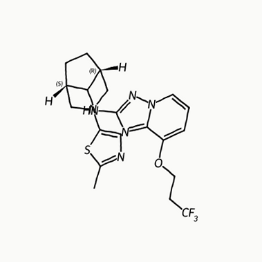 Cc1ncc(N2C[C@H]3CC[C@@H](C2)C3Nc2nc3c(OCCC(F)(F)F)cccn3n2)s1